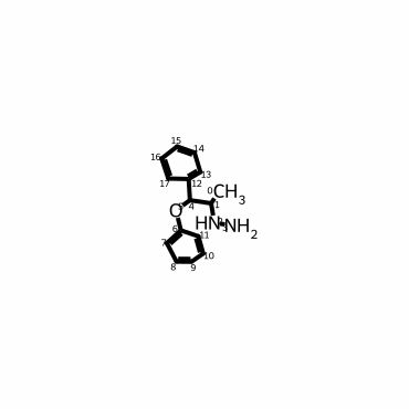 CC(NN)C(Oc1ccccc1)c1ccccc1